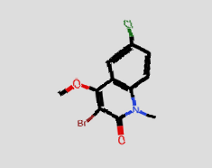 COc1c(Br)c(=O)n(C)c2ccc(Cl)cc12